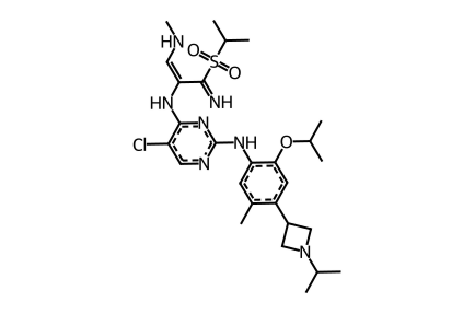 CN/C=C(/Nc1nc(Nc2cc(C)c(C3CN(C(C)C)C3)cc2OC(C)C)ncc1Cl)C(=N)S(=O)(=O)C(C)C